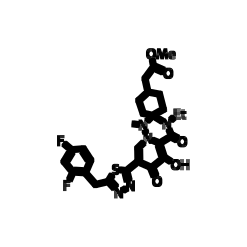 CCN1C(=O)c2c(O)c(=O)c(-c3nnc(Cc4ccc(F)cc4F)s3)cn2N(C)C12CCC(CC(=O)OC)CC2